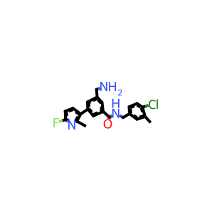 Cc1cc(CNC(=O)c2cc(CN)cc(-c3ccc(F)nc3C)c2)ccc1Cl